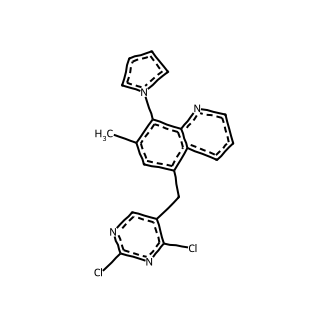 Cc1cc(Cc2cnc(Cl)nc2Cl)c2cccnc2c1-n1cccc1